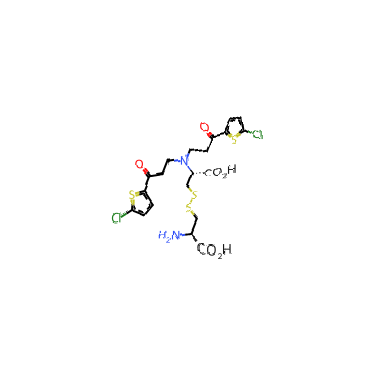 N[C@@H](CSSC[C@@H](C(=O)O)N(CCC(=O)c1ccc(Cl)s1)CCC(=O)c1ccc(Cl)s1)C(=O)O